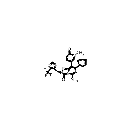 Cn1cc(-c2c(-c3ccccc3)nc(N)n3c(=O)n(Cc4ncoc4C(F)(F)F)nc23)ccc1=O